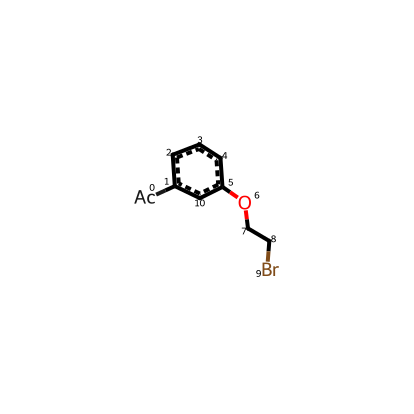 CC(=O)c1cccc(OCCBr)c1